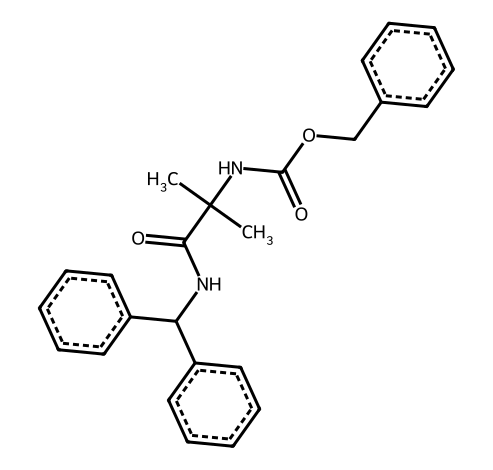 CC(C)(NC(=O)OCc1ccccc1)C(=O)NC(c1ccccc1)c1ccccc1